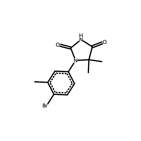 Cc1cc(N2C(=O)NC(=O)C2(C)C)ccc1Br